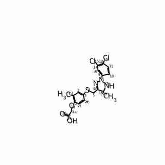 Cc1cc(SCC2=NN(c3ccc(Cl)c(Cl)c3)NC2C)ccc1OCC(=O)O